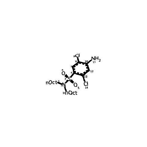 CCCCCCCCN(CCCCCCCC)S(=O)(=O)c1cc(Cl)c(N)cc1Cl